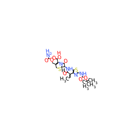 C/C=C(\C(=O)NC1C(=O)N2C(C(=O)O)=C(COC(N)=O)CS[C@H]12)c1csc(NC(=O)OC(C)(C)C)n1